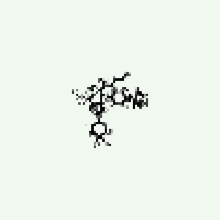 CCCCC(C)C(=O)N(c1cc(C2CCC(C)(C)CC2)sc1C(=O)OC)C1CCC(n2ccnn2)CC1